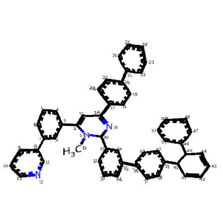 CN1C(c2cccc(-c3cccnc3)c2)=CC(c2ccc(-c3ccccc3)cc2)=NC1c1cccc(-c2ccc(C3C=CC=CC3c3ccccc3)cc2)c1